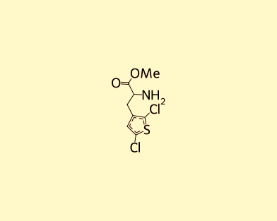 COC(=O)C(N)Cc1cc(Cl)sc1Cl